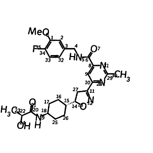 COc1cc(CNC(=O)c2cc(C3=NOC([C@H]4CC[C@H](NC(=O)[C@H](C)O)CC4)C3)nc(C)n2)ccc1F